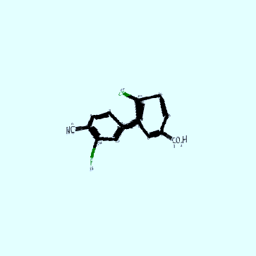 N#Cc1ccc(-c2cc(C(=O)O)ccc2Cl)cc1F